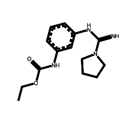 CCOC(=O)Nc1cccc(NC(=N)N2CCCC2)c1